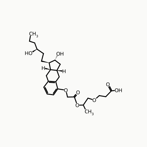 CCC[C@H](O)CC[C@@H]1[C@H]2Cc3cccc(OCC(=O)OC(C)COCCC(=O)O)c3C[C@H]2C[C@H]1O